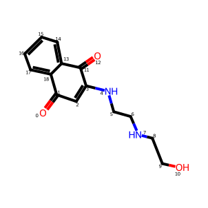 O=C1C=C(NCCNCCO)C(=O)c2ccccc21